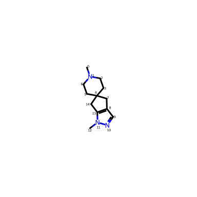 CN1CCC2(CC1)Cc1cnn(C)c1C2